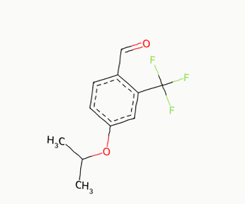 CC(C)Oc1ccc(C=O)c(C(F)(F)F)c1